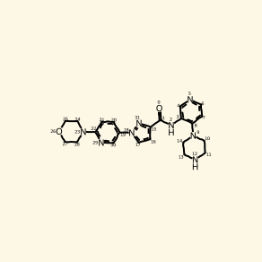 O=C(Nc1cnccc1N1CCNCC1)c1ccn(-c2ccc(N3CCOCC3)nc2)n1